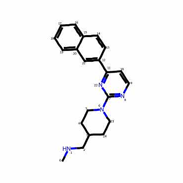 CNCC1CCN(c2nccc(-c3ccc4ccccc4c3)n2)CC1